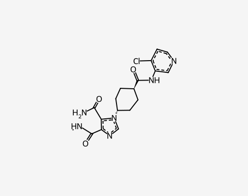 CNC(=O)c1ncn([C@H]2CC[C@H](C(=O)Nc3cnccc3Cl)CC2)c1C(N)=O